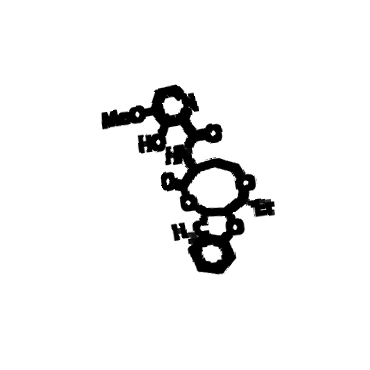 CC[C@H]1OCC[C@H](NC(=O)c2nccc(OC)c2O)C(=O)O[C@@H](C)[C@@H]1Oc1ccccc1